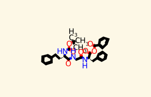 CC(C)(C)OC(=O)N[C@@H](CCc1ccccc1)C(=O)NCC(=O)N[C@@H](Cc1ccccc1)C(=O)OC(=O)c1ccccc1